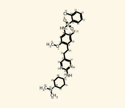 COc1cc(NS(=O)(=O)c2ccccc2Cl)c(F)cc1CCc1cnc(N[C@H]2CC[C@H](N(C)C)CC2)nc1